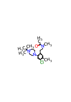 CC(=O)N(C)CCc1cc(C)c(Cl)cc1N1CCN(C(C)(C)C)CC1